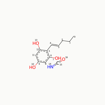 CCCC=Cc1c(O)cc(O)cc1O.N=C=O